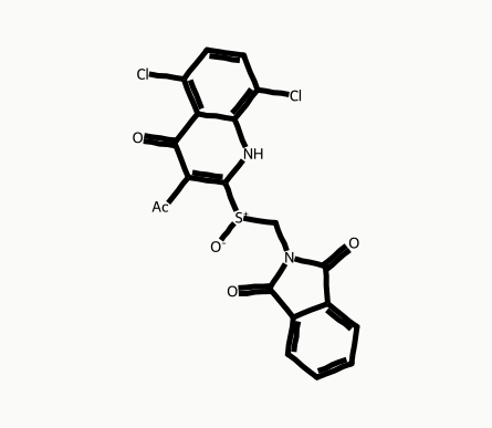 CC(=O)c1c([S+]([O-])CN2C(=O)c3ccccc3C2=O)[nH]c2c(Cl)ccc(Cl)c2c1=O